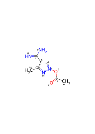 CC(=O)On1cc(C(=N)N)c(C)n1